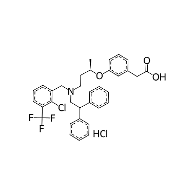 C[C@H](CCN(Cc1cccc(C(F)(F)F)c1Cl)CC(c1ccccc1)c1ccccc1)Oc1cccc(CC(=O)O)c1.Cl